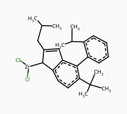 CC(C)CC1=Cc2c(ccc(C(C)(C)C)c2-c2ccccc2C(C)C)[CH]1[Zr]([Cl])[Cl]